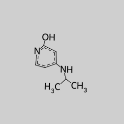 CC(C)Nc1ccnc(O)c1